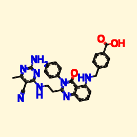 Cc1nc(N)nc(NCCc2nc3cccc(NCc4ccc(C(=O)O)cc4)c3c(=O)n2-c2ccccc2)c1C#N